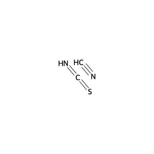 C#N.N=C=S